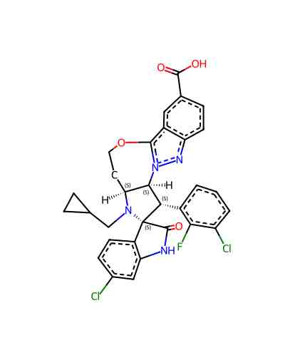 O=C(O)c1ccc2nn3c(c2c1)OCC[C@H]1[C@@H]3[C@H](c2cccc(Cl)c2F)[C@]2(C(=O)Nc3cc(Cl)ccc32)N1CC1CC1